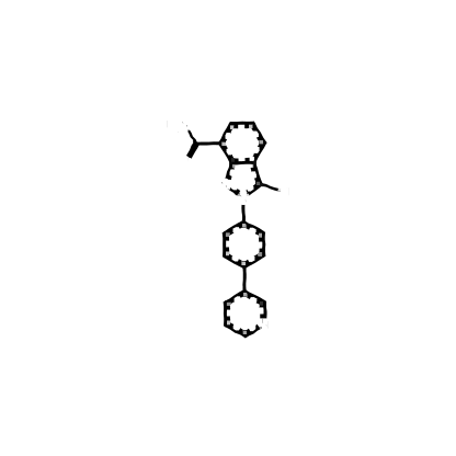 NC(=O)c1cccc2c(Cl)n(-c3ccc(-c4cccnc4)cc3)nc12